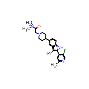 Cc1cc(-c2[nH]c3ccc(C4CCN(CC(=O)N(C)C)CC4)cc3c2C(C)C)c(F)cn1